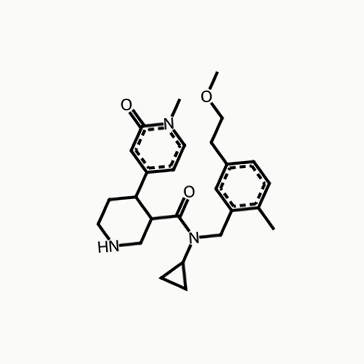 COCCc1ccc(C)c(CN(C(=O)C2CNCCC2c2ccn(C)c(=O)c2)C2CC2)c1